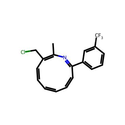 Cc1nc(-c2cccc(C(F)(F)F)c2)ccccccc1CCl